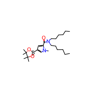 CCCCCCN(CCCCCC)C(=O)c1cc(B2OC(C)(C)C(C)(C)O2)cn1C